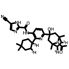 [2H]C1CC(C)(C)CCC1([2H])c1nc(C2(O)CC3(C)C([2H])C([2H])C(C)(C2)N3C(C)=O)ccc1NC(=O)c1ncc(C#N)[nH]1